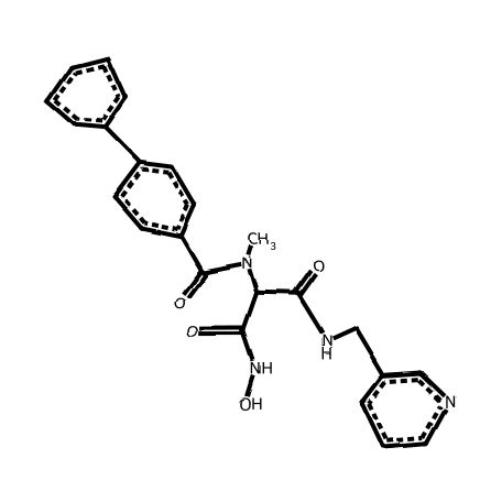 CN(C(=O)c1ccc(-c2ccccc2)cc1)C(C(=O)NO)C(=O)NCc1cccnc1